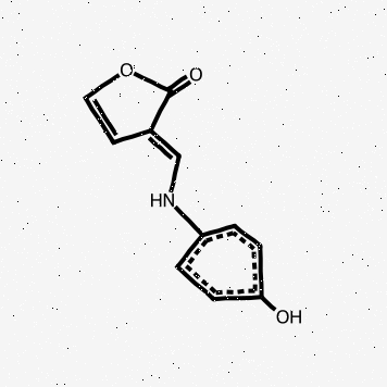 O=C1OC=CC1=CNc1ccc(O)cc1